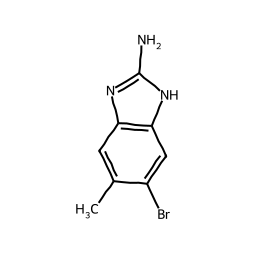 Cc1cc2nc(N)[nH]c2cc1Br